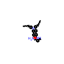 CCCCCC(C)(C)c1ccc(N(c2ccc(C(C)(C)CCCCC)cc2)c2ccc3c4ccc(C(N)=O)c5c(C(=O)Nc6c(C(C)C)cccc6C(C)C)ccc(c6cccc2c36)c54)cc1